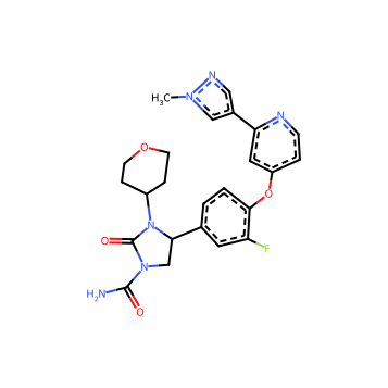 Cn1cc(-c2cc(Oc3ccc(C4CN(C(N)=O)C(=O)N4C4CCOCC4)cc3F)ccn2)cn1